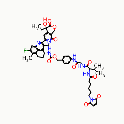 CC[C@@]1(O)C(=O)OCc2c1cc1n(c2=O)Cc2c-1nc1cc(F)c(C)c3c1c2[C@@H](NC(=O)OCc1ccc(NC(=O)CNC(=O)C(NC(=O)CCCCCN2C(=O)C=CC2=O)C(C)C)cc1)CC3